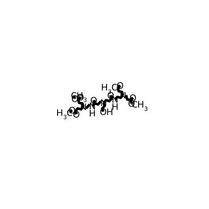 COC(=O)CCN(CCNC(=O)CCN(CCO)CCC(=O)NCCN(CCC(=O)OC)CCC(=O)OC)CCC(C)=O